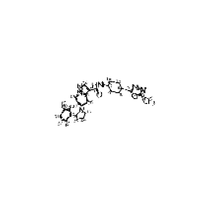 O=C(NC1CCC(c2nnc(C(F)(F)F)o2)CC1)c1cnn2ccc(N3CCC[C@@H]3c3cc(F)ccc3F)cc12